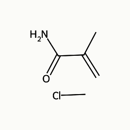 C=C(C)C(N)=O.CCl